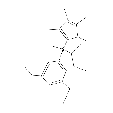 CCc1cc(CC)cc([Si](C)(C2=C(C)C(C)=C(C)C2C)C(C)CC)c1